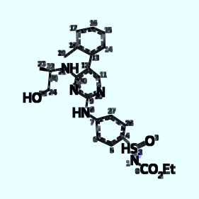 CCOC(=O)/N=[SH](=O)/c1ccc(Nc2ncc(-c3ccccc3C)c(N[C@H](C)CO)n2)cc1